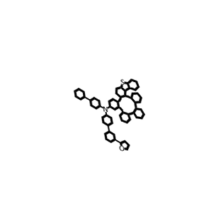 c1ccc(-c2ccc(N(c3ccc(-c4cccc(-c5ccco5)c4)cc3)c3ccc4c(c3)c3ccccc3c3ccccc3c3ccccc3c3c4ccc4sc5ccccc5c43)cc2)cc1